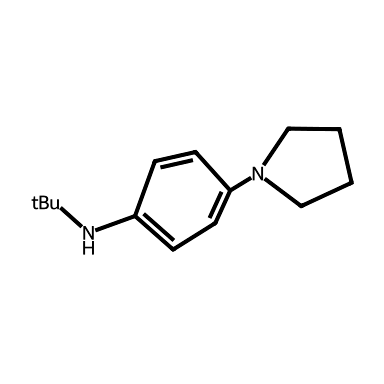 CC(C)(C)Nc1ccc(N2CCCC2)cc1